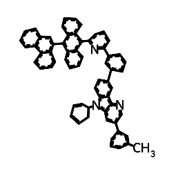 Cc1cccc(-c2cnc3c4cc(-c5cccc(-c6cccc(-c7c8ccccc8c(-c8cc9ccccc9c9ccccc89)c8ccccc78)n6)c5)ccc4n(C4C=CC=CC4)c3c2)c1